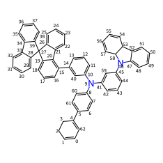 C1=CCCC(c2ccc(N(c3cccc(-c4cccc5c4-c4ccccc4C54c5ccccc5-c5ccccc54)c3)c3cccc(N4c5ccccc5C5C=CC=CC54)c3)cc2)=C1